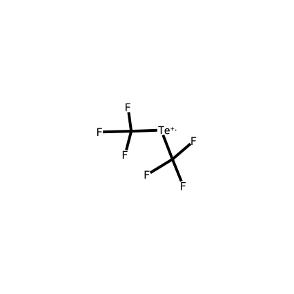 FC(F)(F)[Te+]C(F)(F)F